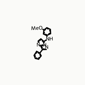 COc1cccc(Nc2ccnc3c(-c4ccccc4)cnn23)c1